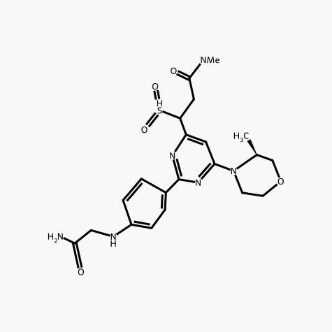 CNC(=O)CC(c1cc(N2CCOC[C@@H]2C)nc(-c2ccc(NCC(N)=O)cc2)n1)[SH](=O)=O